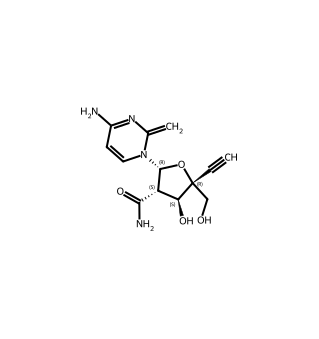 C#C[C@]1(CO)O[C@@H](N2C=CC(N)=NC2=C)[C@@H](C(N)=O)[C@@H]1O